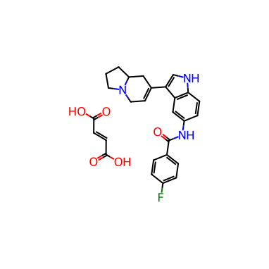 O=C(Nc1ccc2[nH]cc(C3=CCN4CCCC4C3)c2c1)c1ccc(F)cc1.O=C(O)C=CC(=O)O